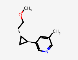 COCC[C@H]1C[C@@H]1c1cncc(C)c1